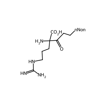 CCCCCCCCCCCC(=O)C(N)(CCCNC(=N)N)C(=O)O